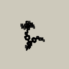 COc1ccc(-n2nc(C(F)(F)F)cc2-c2ccc(OCCO[Si](C)(C)C(C)(C)C)cc2)cc1